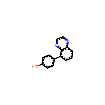 Oc1ccc(-c2cccc3nccnc23)cc1